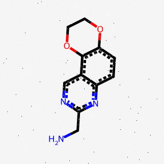 NCc1ncc2c3c(ccc2n1)OCCO3